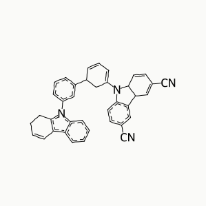 N#CC1=CC2c3cc(C#N)ccc3N(C3=CC=CC(c4cccc(-n5c6c(c7ccccc75)C=CCC6)c4)C3)C2C=C1